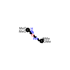 COc1ccc(CCNCCCOc2cc(-c3ccc(OC)c(OC)c3)[nH]n2)cc1OC